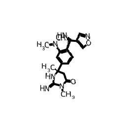 CN1C(=N)N[C@](C)(c2ccc(C(=N)c3cnoc3)c(N(C)C)c2)CC1=O